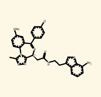 Bc1cccc2c(CCNC(=O)C[C@@H]3N=C(c4ccc(Cl)cc4)c4cc(OC)ccc4-n4c(C)nnc43)csc12